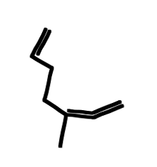 C=C=C(C)CCC=C